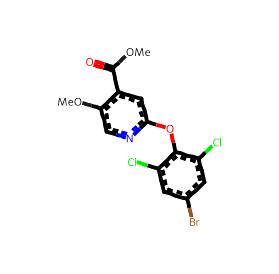 COC(=O)c1cc(Oc2c(Cl)cc(Br)cc2Cl)ncc1OC